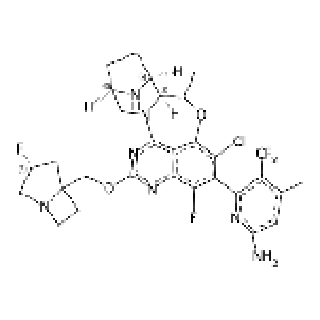 Cc1cc(N)nc(-c2c(Cl)c3c4c(nc(OCC56CCN5C[C@H](F)C6)nc4c2F)N2C[C@H]4CC[C@H](N4)[C@H]2C(C)O3)c1C(F)(F)F